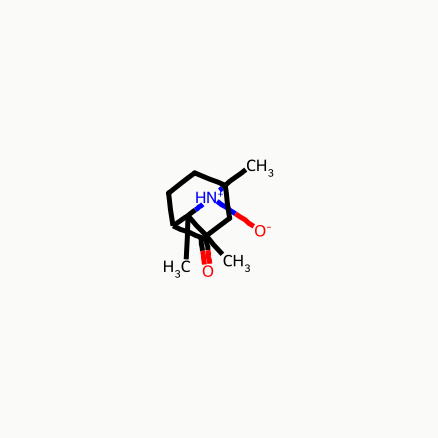 CC12CCC(C(=O)C1)C(C)(C)[NH+]2[O-]